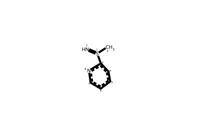 CS(=N)c1ccccn1